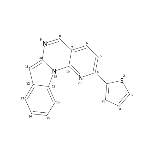 c1csc(-c2ccc3cnc4cc5ccccc5n4c3n2)c1